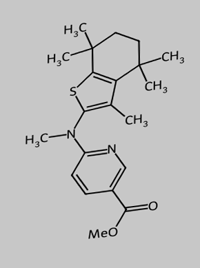 COC(=O)c1ccc(N(C)c2sc3c(c2C)C(C)(C)CCC3(C)C)nc1